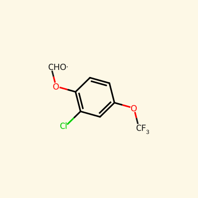 O=[C]Oc1ccc(OC(F)(F)F)cc1Cl